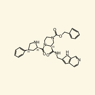 O=C(NCc1cc2ccncc2[nH]1)[C@@H]1CN(C(=O)OCc2ccccc2)CCN1C(=O)[C@H]1C[C@@H](c2ccccc2)CN1